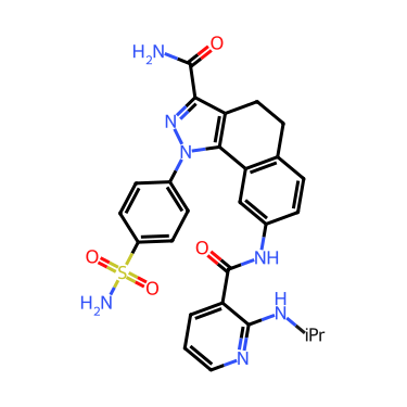 CC(C)Nc1ncccc1C(=O)Nc1ccc2c(c1)-c1c(c(C(N)=O)nn1-c1ccc(S(N)(=O)=O)cc1)CC2